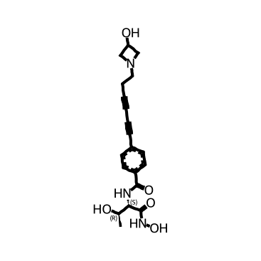 C[C@@H](O)[C@H](NC(=O)c1ccc(C#CC#CCCN2CC(O)C2)cc1)C(=O)NO